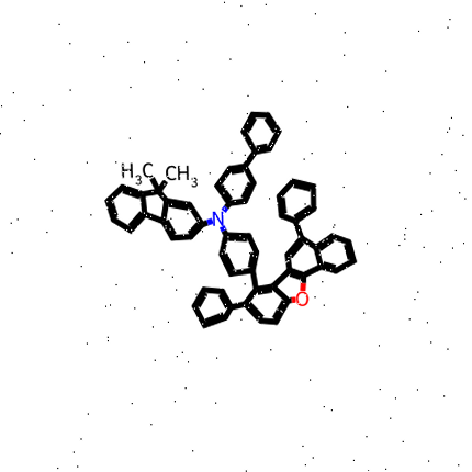 CC1(C)c2ccccc2-c2ccc(N(c3ccc(-c4ccccc4)cc3)c3ccc(-c4c(-c5ccccc5)ccc5oc6c7ccccc7c(-c7ccccc7)cc6c45)cc3)cc21